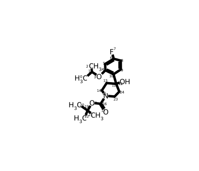 CC(C)Oc1cc(F)ccc1C1(O)CCN(C(=O)OC(C)(C)C)CC1